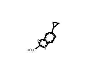 O=C(O)c1nc2ccc(C3CC3)cc2s1